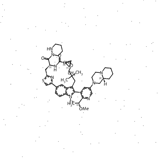 CCn1c(-c2cc(N3CCN4CCCC[C@@H]4C3)cnc2[C@H](C)OC)c(CC(C)(C)COC=O)c2cc(-c3csc(C[C@H](NC(=O)[C@H]4C[C@@H]4C)C(=O)N4CCCCN4)n3)ccc21